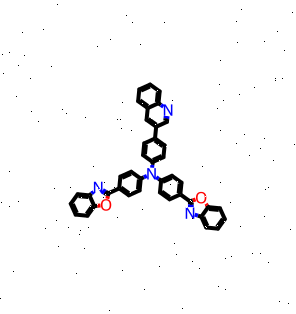 c1ccc2ncc(-c3ccc(N(c4ccc(-c5nc6ccccc6o5)cc4)c4ccc(-c5nc6ccccc6o5)cc4)cc3)cc2c1